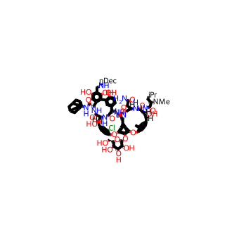 CCCCCCCCCCNCc1c(O)cc2c(c1O)-c1cc(ccc1O)[C@H]1NC(=O)[C@@H]3NC(=O)[C@H](CC(N)=O)NC(=O)[C@H](NC(=O)[C@@H](CC(C)C)NC)[C@H](O)c4ccc(c(C)c4)Oc4cc3cc(c4O[C@@H]3O[C@H](CO)[C@@H](O)[C@H](O)[C@H]3O)Oc3ccc(cc3Cl)[C@@H](O)[C@H](NC1=O)C(=O)N[C@@H]2C(=O)NC1C2CC3CC(C2)CC1C3